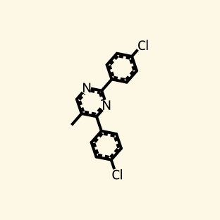 Cc1cnc(-c2ccc(Cl)cc2)nc1-c1ccc(Cl)cc1